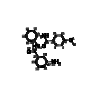 COc1ccc(C(=O)Nc2ccccc2NC(=O)c2cccc(N)c2)cc1